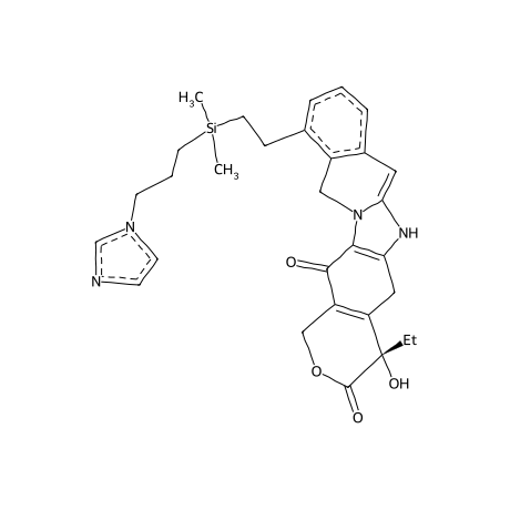 CC[C@@]1(O)C(=O)OCC2=C1CC1=C(C2=O)N2Cc3c(cccc3CC[Si](C)(C)CCCn3ccnc3)C=C2N1